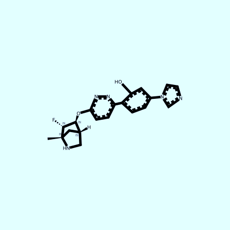 C[C@@]12C[C@@H](CN1)[C@H](Oc1ccc(-c3ccc(-n4ccnc4)cc3O)nn1)[C@H]2F